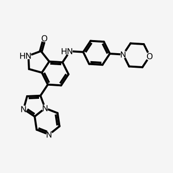 O=C1NCc2c(-c3cnc4cnccn34)ccc(Nc3ccc(N4CCOCC4)cc3)c21